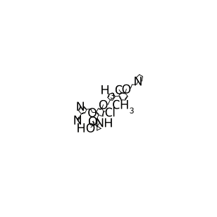 Cc1c(COc2cc(OCc3cncc(C#N)c3)c(CNC3(C(=O)O)CC3)cc2Cl)cccc1-c1cccc(OCCCN2CCCC2)c1C